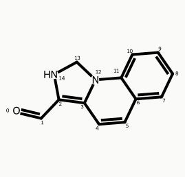 O=CC1=C2C=Cc3ccccc3N2CN1